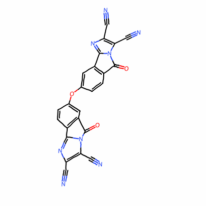 N#Cc1nc2n(c1C#N)C(=O)c1cc(Oc3ccc4c(c3)-c3nc(C#N)c(C#N)n3C4=O)ccc1-2